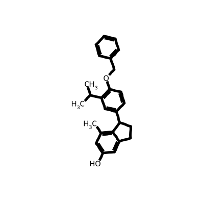 Cc1cc(O)cc2c1C(c1ccc(OCc3ccccc3)c(C(C)C)c1)CC2